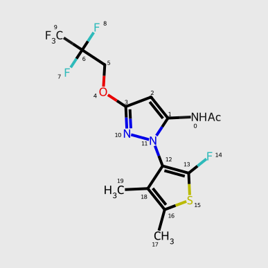 CC(=O)Nc1cc(OCC(F)(F)C(F)(F)F)nn1-c1c(F)sc(C)c1C